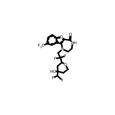 O=C1NCCN(CC(F)(F)C2CC(O)(C(F)F)CCO2)c2c1oc1ccc(C(F)(F)F)cc21